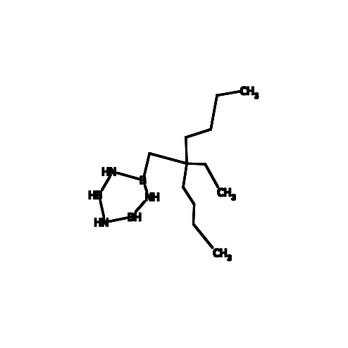 CCCCC(CC)(CCCC)CB1NBNBN1